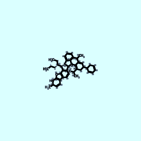 CCC[C@H](CC)[C@H]1c2c(ccc3c4c(oc23)NC(C)C=C4)C2N3C4=C(C(C)C)CC(C5C=CC=CC5)C=C4C(C)c4cccc(c43)N21